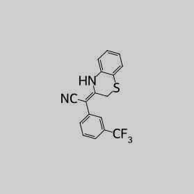 N#CC(=C1CSc2ccccc2N1)c1cccc(C(F)(F)F)c1